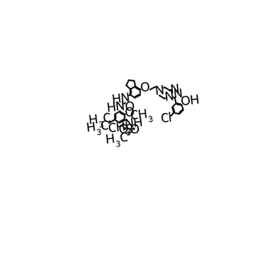 CCS(=O)(=O)Nc1cc(C(C)(C)C)cc(NC(=O)Nc2ccc(OCCN3CCn4c(nnc4-c4cc(Cl)ccc4O)C3)c3c2CCC3)c1OC